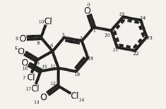 O=C(C1=CC(C(=O)Cl)(C(=O)Cl)C(C(=O)Cl)(C(=O)Cl)C=C1)c1ccccc1